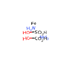 N.N.O=C(O)O.O=S(=O)(O)O.[Fe]